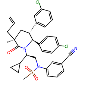 C=CC[C@@]1(C)C[C@H](c2cccc(Cl)c2)[C@@H](c2ccc(Cl)cc2)N([C@@H](CN(c2cccc(C#N)c2)S(C)(=O)=O)C2CC2)C1=O